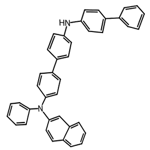 c1ccc(-c2ccc(Nc3ccc(-c4ccc(N(c5ccccc5)c5ccc6ccccc6c5)cc4)cc3)cc2)cc1